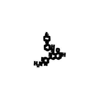 CN1CCN(c2cccc(Nc3nc(-c4cnc(N)nc4)cc4cc[nH]c(=O)c34)c2)CC1